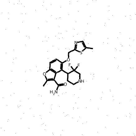 Cc1cnc(COc2ccc3oc(C)c(C(N)=O)c3c2C2CCNCC2(F)F)s1